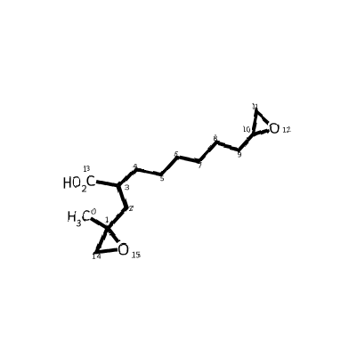 CC1(CC(CCCCCCC2CO2)C(=O)O)CO1